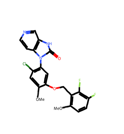 COc1cc(Cl)c(-n2c(=O)[nH]c3cnccc32)cc1OCc1c(OC)ccc(F)c1F